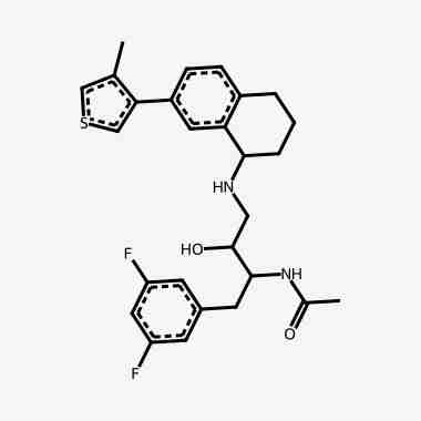 CC(=O)NC(Cc1cc(F)cc(F)c1)C(O)CNC1CCCc2ccc(-c3cscc3C)cc21